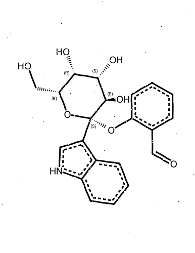 O=Cc1ccccc1O[C@]1(c2c[nH]c3ccccc23)O[C@H](CO)[C@H](O)[C@H](O)[C@H]1O